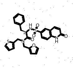 O=C([C@@H](Cc1ccccc1)NS(=O)(=O)c1ccc2[nH]c(=O)ccc2c1)N(Cc1ccco1)Cc1cccs1